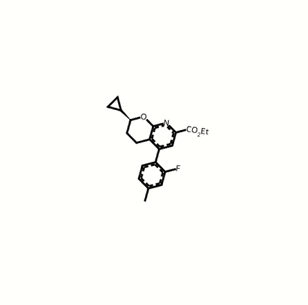 CCOC(=O)c1cc(-c2ccc(C)cc2F)c2c(n1)O[C@H](C1CC1)CC2